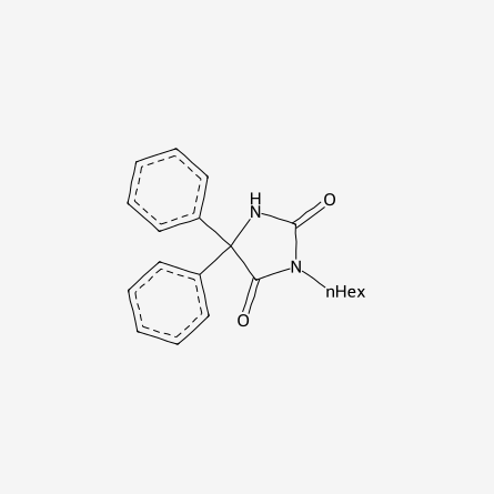 CCCCCCN1C(=O)NC(c2ccccc2)(c2ccccc2)C1=O